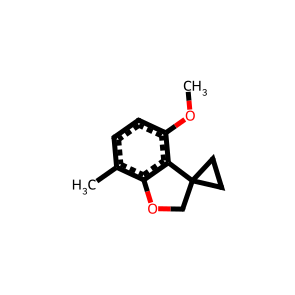 COc1ccc(C)c2c1C1(CC1)CO2